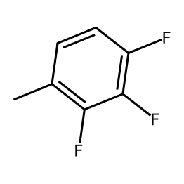 Cc1ccc(F)c(F)c1F